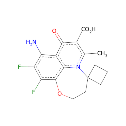 Cc1c(C(=O)O)c(=O)c2c(N)c(F)c(F)c3c2n1C1(CCC1)CCO3